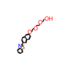 OCCOCCOCCOc1ccc2cc(-c3nc4ccccc4s3)ccc2c1